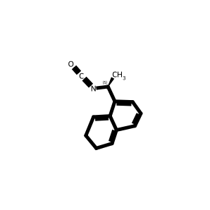 C[C@H](N=C=O)c1cccc2c1=CCCC=2